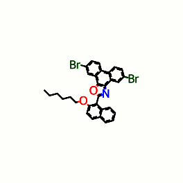 CCCCCCOc1ccc2ccccc2c1-c1nc2c3cc(Br)ccc3c3ccc(Br)cc3c2o1